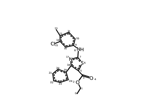 CCOC(=O)c1sc(Nc2ccc(C)c(Cl)c2)nc1-c1ccccc1